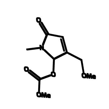 COCC1=CC(=O)N(C)C1OC(=O)OC